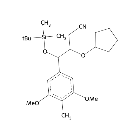 COc1cc(C(O[Si](C)(C)C(C)(C)C)C(CC#N)OC2CCCC2)cc(OC)c1C